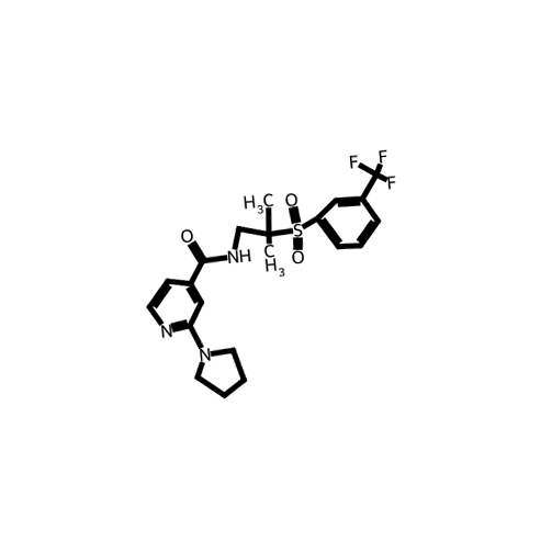 CC(C)(CNC(=O)c1ccnc(N2CCCC2)c1)S(=O)(=O)c1cccc(C(F)(F)F)c1